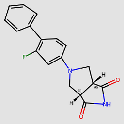 O=C1NC(=O)[C@@H]2CN(c3ccc(-c4ccccc4)c(F)c3)C[C@H]12